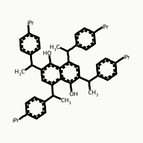 CC(C)c1ccc(C(C)c2cc(C(C)c3ccc(C(C)C)cc3)c3c(O)c(C(C)c4ccc(C(C)C)cc4)cc(C(C)c4ccc(C(C)C)cc4)c3c2O)cc1